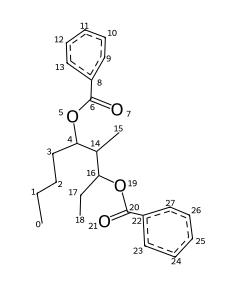 CCCCC(OC(=O)c1ccccc1)C(C)C(CC)OC(=O)c1ccccc1